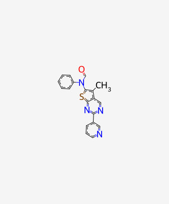 Cc1c(N(C=O)c2ccccc2)sc2nc(-c3cccnc3)ncc12